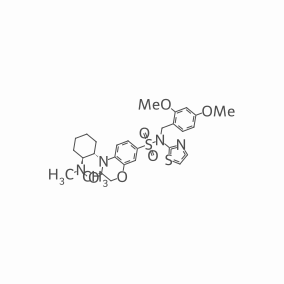 COc1ccc(CN(c2nccs2)S(=O)(=O)c2ccc3c(c2)OCC(=O)N3[C@H]2CCCC[C@@H]2N(C)C)c(OC)c1